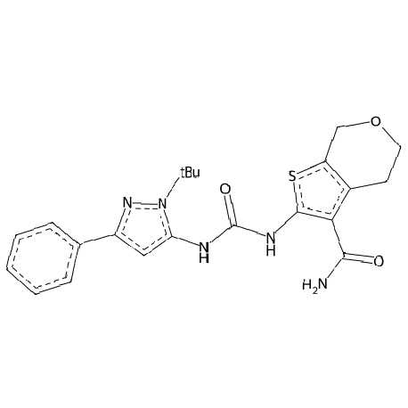 CC(C)(C)n1nc(-c2ccccc2)cc1NC(=O)Nc1sc2c(c1C(N)=O)CCOC2